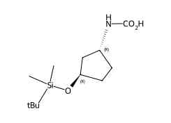 CC(C)(C)[Si](C)(C)O[C@@H]1CC[C@@H](NC(=O)O)C1